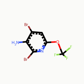 Nc1c(Br)cc(OC(F)(F)F)nc1Br